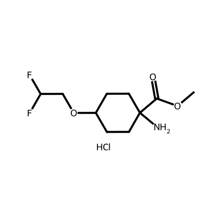 COC(=O)C1(N)CCC(OCC(F)F)CC1.Cl